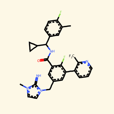 Cc1cc(C(NC(=O)c2cc(Cn3ccn(C)c3=N)cc(-c3cccnc3C(F)(F)F)c2F)C2CC2)ccc1F